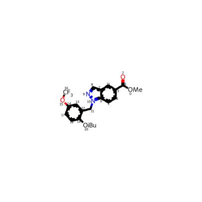 COC(=O)c1ccc2c(cnn2Cc2cc(OC(F)(F)F)ccc2OCC(C)C)c1